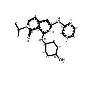 CC(C)n1ccc2cc(Nc3cnccn3)nc(NC3CCC(O)CC3)c2c1=O